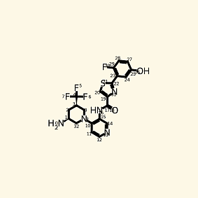 N[C@H]1C[C@@H](C(F)(F)F)CN(c2ccncc2NC(=O)c2csc(-c3cc(O)ccc3F)n2)C1